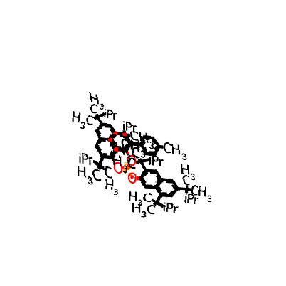 Cc1ccc(-c2ccccc2OP(Oc2cc3c(C(C)(C)C(C)C)cc(C(C)(C)C(C)C)cc3cc2C(C)(C)C(C)C)Oc2cc3c(C(C)(C)C(C)C)cc(C(C)(C)C(C)C)cc3cc2C(C)(C)C(C)C)cc1